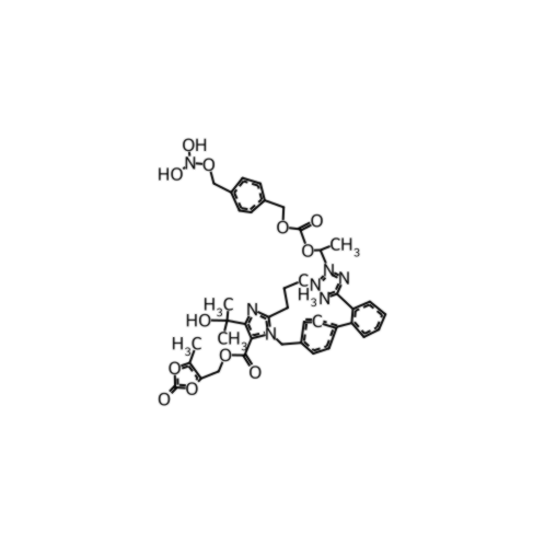 CCCc1nc(C(C)(C)O)c(C(=O)OCc2oc(=O)oc2C)n1Cc1ccc(-c2ccccc2-c2nnn(C(C)OC(=O)OCc3ccc(CON(O)O)cc3)n2)cc1